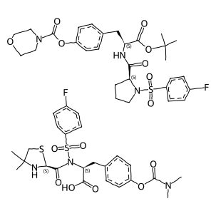 CC(C)(C)OC(=O)[C@H](Cc1ccc(OC(=O)N2CCOCC2)cc1)NC(=O)[C@@H]1CCCN1S(=O)(=O)c1ccc(F)cc1.CN(C)C(=O)Oc1ccc(C[C@@H](C(=O)O)N(C(=O)[C@H]2NC(C)(C)CS2)S(=O)(=O)c2ccc(F)cc2)cc1